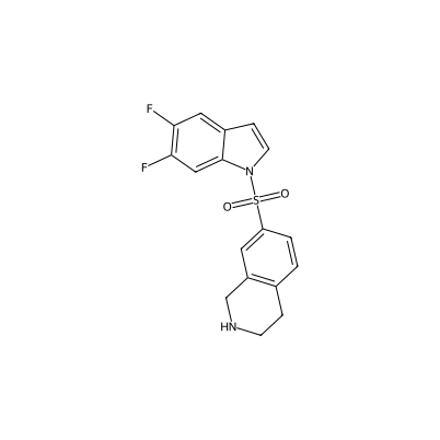 O=S(=O)(c1ccc2c(c1)CNCC2)n1ccc2cc(F)c(F)cc21